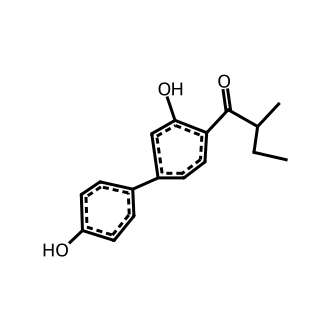 CCC(C)C(=O)c1ccc(-c2ccc(O)cc2)cc1O